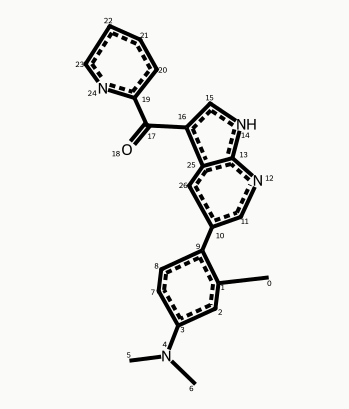 Cc1cc(N(C)C)ccc1-c1cnc2[nH]cc(C(=O)c3ccccn3)c2c1